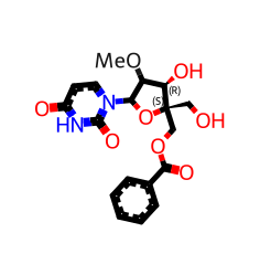 COC1C(n2ccc(=O)[nH]c2=O)O[C@@](CO)(COC(=O)c2ccccc2)[C@@H]1O